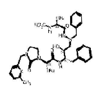 Cc1cccc(CN2CCN([C@H](C(=O)N[C@@H](Cc3ccccc3)[C@@H](O)CN(Cc3ccccc3)NC(=O)[C@@H](NC(=O)O)C(C)(C)C)C(C)(C)C)C2=O)n1